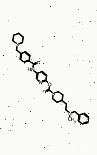 CN(CCC1CCN(C(=O)Oc2ccc(NC(=O)c3ccc(CN4CCCCC4)cc3)cn2)CC1)Cc1ccccc1